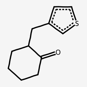 O=C1CCCCC1Cc1ccsc1